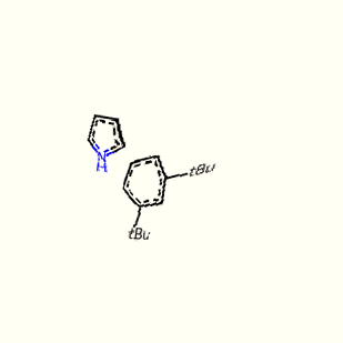 CC(C)(C)c1cccc(C(C)(C)C)c1.c1cc[nH]c1